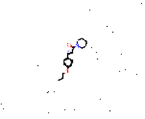 CCCOc1ccc(/C=C/C(=O)N2CCCCC2)cc1